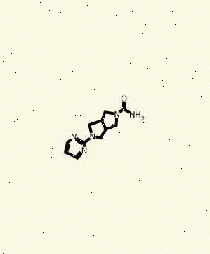 NC(=O)N1CC2CN(c3ncccn3)CC2C1